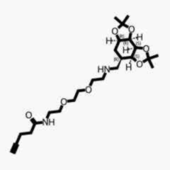 C#CCCC(=O)NCCOCCOCCNC[C@H]1C[C@H]2OC(C)(C)O[C@H]2[C@H]2OC(C)(C)O[C@@H]12